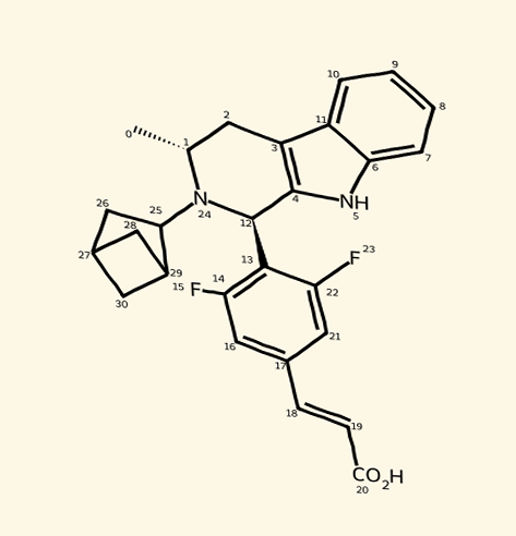 C[C@@H]1Cc2c([nH]c3ccccc23)[C@@H](c2c(F)cc(/C=C/C(=O)O)cc2F)N1C1CC2CC1C2